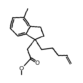 C=CCCCC1(CC(=O)OC)CCc2c(C)cccc21